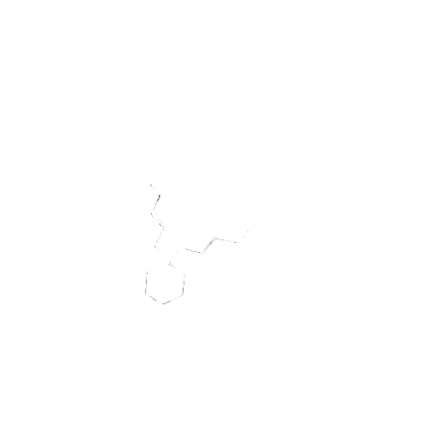 CC/C=C/C[Si]1(C/C=C/CC)CCCCC1